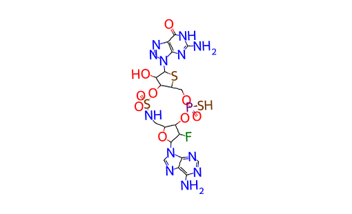 Nc1nc2c(nnn2C2SC3CO[P@@](=O)(S)OC4C(CNS(=O)(=O)OC3C2O)OC(n2cnc3c(N)ncnc32)C4F)c(=O)[nH]1